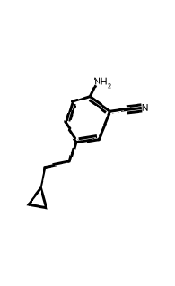 N#Cc1cc(CCC2CC2)ccc1N